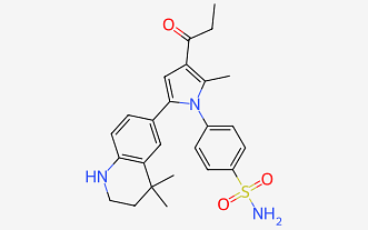 CCC(=O)c1cc(-c2ccc3c(c2)C(C)(C)CCN3)n(-c2ccc(S(N)(=O)=O)cc2)c1C